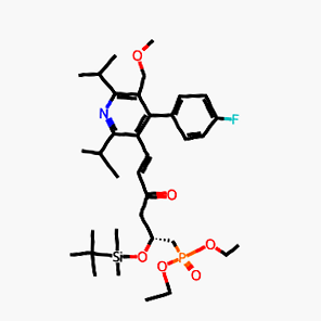 CCOP(=O)(C[C@@H](CC(=O)/C=C/c1c(C(C)C)nc(C(C)C)c(COC)c1-c1ccc(F)cc1)O[Si](C)(C)C(C)(C)C)OCC